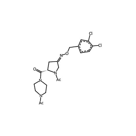 CC(=O)N1CCN(C(=O)[C@@H]2CC(=NOCc3ccc(Cl)c(Cl)c3)CN2C(C)=O)CC1